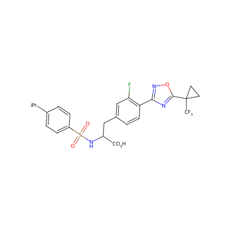 CC(C)c1ccc(S(=O)(=O)NC(Cc2ccc(-c3noc(C4(C(F)(F)F)CC4)n3)c(F)c2)C(=O)O)cc1